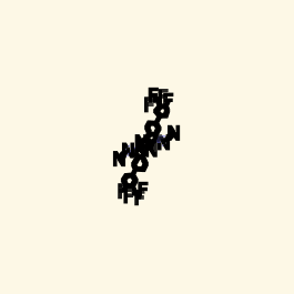 N#C/N=c1\c2cc(-c3ccc(F)c(C(F)(F)F)c3)ccc2c2nc3/c(=N/C#N)c4cc(-c5ccc(F)c(C(F)(F)F)c5)ccc4c3nc12